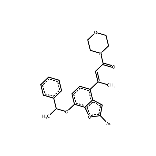 CC(=O)c1cc2c(/C(C)=C/C(=O)N3CCOCC3)ccc(OC(C)c3ccccc3)c2o1